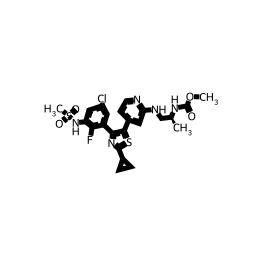 COC(=O)N[C@@H](C)CNc1cc(-c2sc(C3CC3)nc2-c2cc(Cl)cc(NS(C)(=O)=O)c2F)ccn1